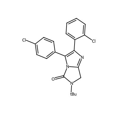 CC(C)(C)N1Cc2nc(-c3ccccc3Cl)c(-c3ccc(Cl)cc3)n2C1=O